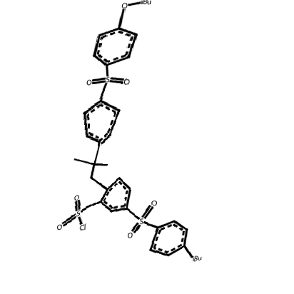 CCC(C)Oc1ccc(S(=O)(=O)c2ccc(C(C)(C)Cc3ccc(S(=O)(=O)c4ccc(C(C)CC)cc4)cc3S(=O)(=O)Cl)cc2)cc1